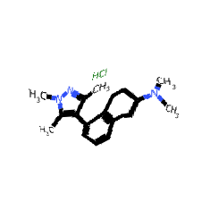 Cc1nn(C)c(C)c1-c1cccc2c1CCC(N(C)C)C2.Cl